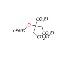 CCCCCOC(CC(=O)OCC)(CC(=O)OCC)C(=O)OCC